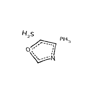 P.S.c1cocn1